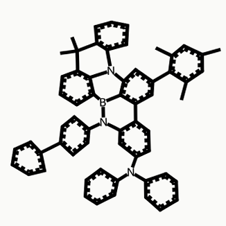 Cc1cc(C)c(-c2cc3c4c(c2)N2c5ccccc5C(C)(C)c5cccc(c52)B4N(c2ccc(-c4ccccc4)cc2)c2cc(N(c4ccccc4)c4ccccc4)ccc2-3)c(C)c1